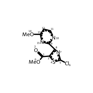 COC(=O)c1sc(Cl)nc1-c1nccc(OC)n1